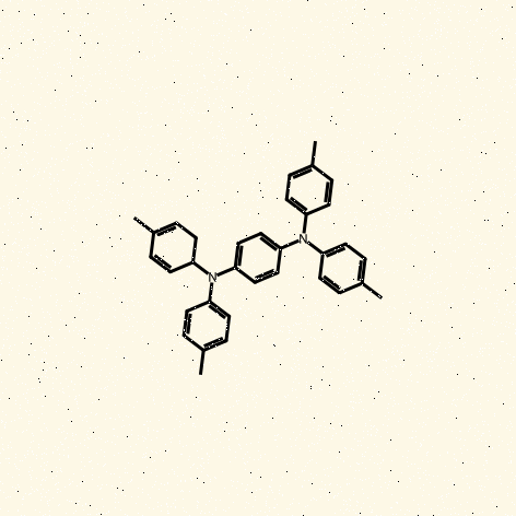 CC1=CCC(N(c2ccc(C)cc2)c2ccc(N(c3ccc(C)cc3)c3ccc(C)cc3)cc2)C=C1